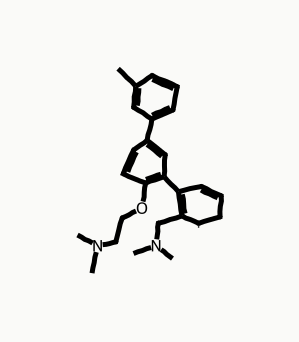 Cc1cccc(-c2ccc(OCCN(C)C)c(C3=C(CN(C)C)[CH]CC=C3)c2)c1